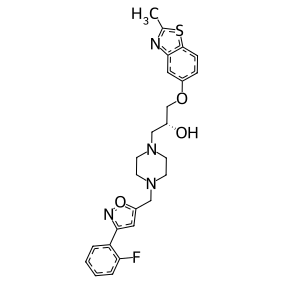 Cc1nc2cc(OC[C@H](O)CN3CCN(Cc4cc(-c5ccccc5F)no4)CC3)ccc2s1